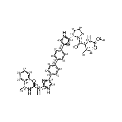 COC(=O)N[C@H](C(=O)N1CCC[C@H]1c1nc(-c2ccc(-c3ccc(-c4c[nH]c(NC(=O)N[C@@H](C)c5ccccc5)n4)cc3)cc2)c[nH]1)C(C)C